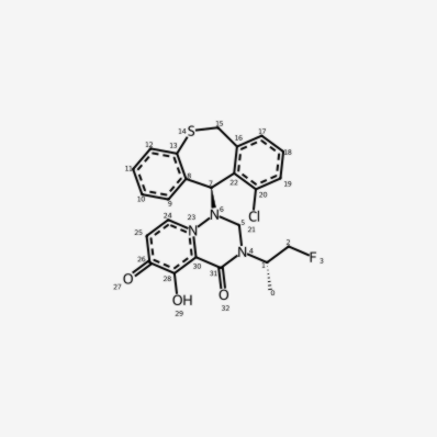 C[C@@H](CF)N1CN([C@H]2c3ccccc3SCc3cccc(Cl)c32)n2ccc(=O)c(O)c2C1=O